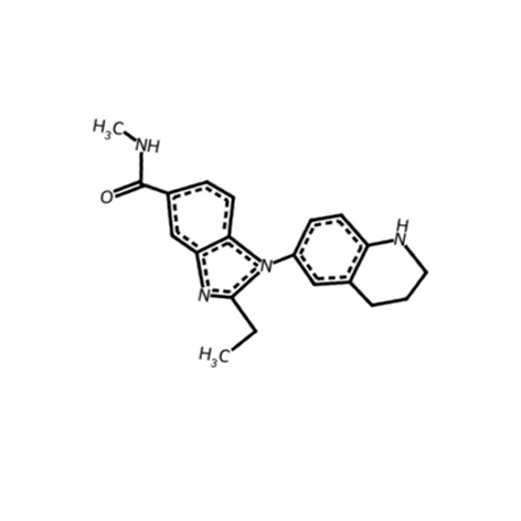 CCc1nc2cc(C(=O)NC)ccc2n1-c1ccc2c(c1)CCCN2